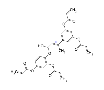 C=CC(=O)Oc1cc(OC(=O)C=C)cc(/C(C)=C/C(O)Oc2ccc(OC(=O)C=C)cc2OC(=O)C=C)c1